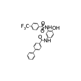 O=C(Nc1ccc(O)c(NS(=O)(=O)c2ccc(C(F)(F)F)cc2)c1)c1ccc(-c2ccccc2)cc1